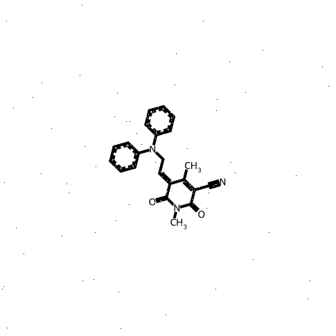 CC1=C(C#N)C(=O)N(C)C(=O)/C1=C/CN(c1ccccc1)c1ccccc1